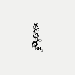 CC(C)(C)OC(=O)CN1CCN(C(=O)c2ccnc(N)c2)CC1